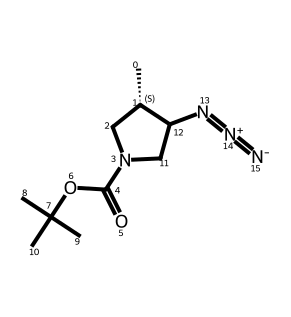 C[C@H]1CN(C(=O)OC(C)(C)C)CC1N=[N+]=[N-]